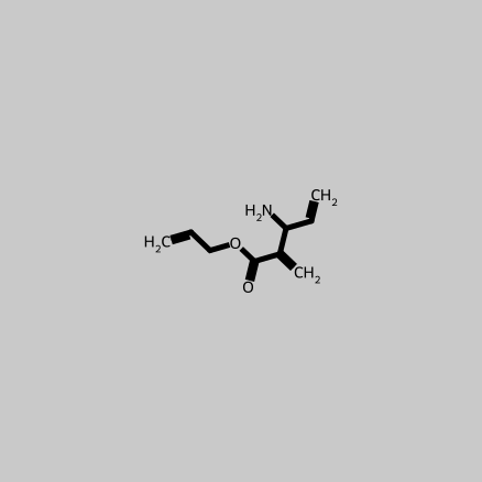 C=CCOC(=O)C(=C)C(N)C=C